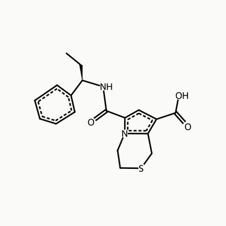 CC[C@@H](NC(=O)c1cc(C(=O)O)c2n1CCSC2)c1ccccc1